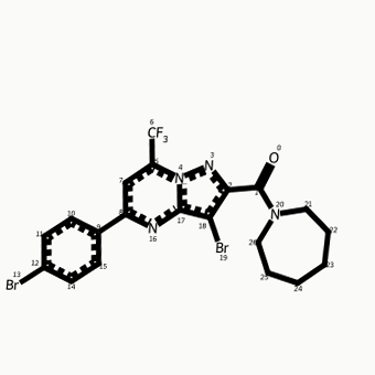 O=C(c1nn2c(C(F)(F)F)cc(-c3ccc(Br)cc3)nc2c1Br)N1CCCCCC1